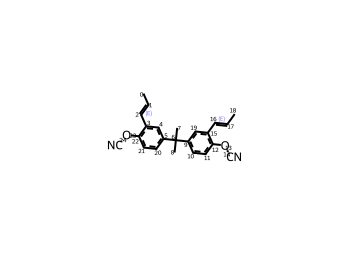 C/C=C/c1cc(C(C)(C)c2ccc(OC#N)c(/C=C/C)c2)ccc1OC#N